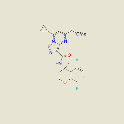 C/C=C(/F)C1=C(CF)OCCC1(C)NC(=O)c1ncn2c(C3CC3)cc(COC)nc12